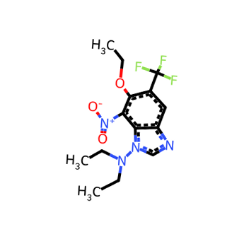 CCOc1c(C(F)(F)F)cc2ncn(N(CC)CC)c2c1[N+](=O)[O-]